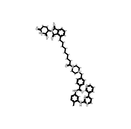 Cc1ccc(NC(=O)c2ccc(CN3CCN(C(=O)CCCCCCCCc4cccc5c4C(=O)N(C4CCC(=O)NC4=O)C5=O)CC3)cc2)cc1Nc1nccc(-c2cccnc2)n1